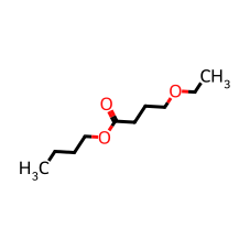 CCCCOC(=O)CCCOCC